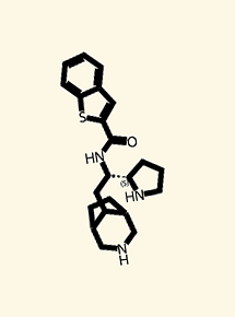 O=C(NC(CC1C2CCC1CNC2)[C@@H]1CCCN1)c1cc2ccccc2s1